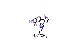 CC(C)CCn1cc(-c2ccc[n+]([O-])c2-c2ccc3c(c2)C(=O)NC3)cn1